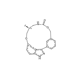 O=C1NC[C@H](F)COc2ccc3[nH]nc(c3c2)-c2cccc(c2)CO1